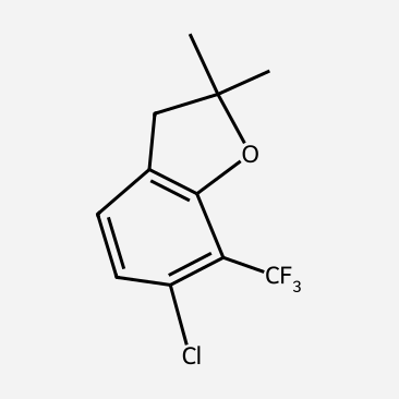 CC1(C)Cc2ccc(Cl)c(C(F)(F)F)c2O1